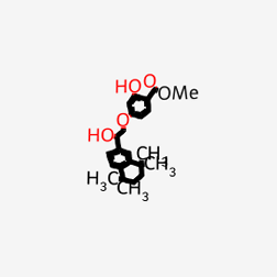 COC(=O)c1ccc(OCC(O)c2ccc3c(c2)C(C)(C)CCC3(C)C)cc1O